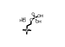 C[N+](C)(C)CCOP(=O)(O)O.Cl.[H+]